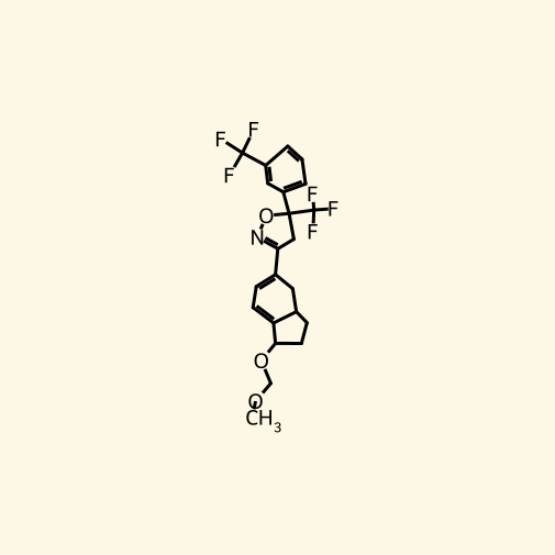 COCOC1CCC2CC(C3=NOC(c4cccc(C(F)(F)F)c4)(C(F)(F)F)C3)=CC=C21